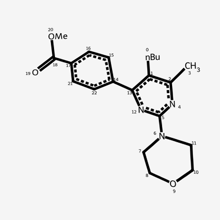 CCCCc1c(C)nc(N2CCOCC2)nc1-c1ccc(C(=O)OC)cc1